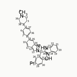 CN1CCC(c2ccc(-c3ccc4cn(C(c5nc6ccccc6[nH]5)c5cc(F)ccc5O)nc4c3)cc2)CC1